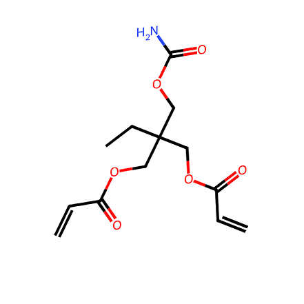 C=CC(=O)OCC(CC)(COC(N)=O)COC(=O)C=C